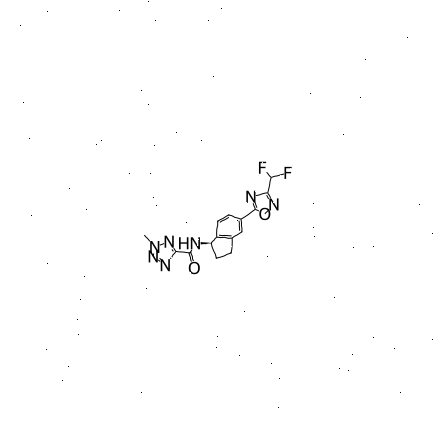 Cn1nnc(C(=O)N[C@@H]2CCc3cc(-c4nc(C(F)F)no4)ccc32)n1